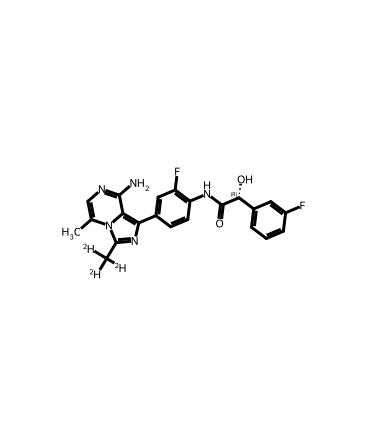 [2H]C([2H])([2H])c1nc(-c2ccc(NC(=O)[C@H](O)c3cccc(F)c3)c(F)c2)c2c(N)ncc(C)n12